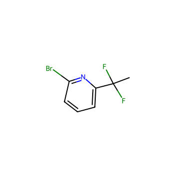 CC(F)(F)c1cccc(Br)n1